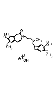 COc1cc2c(cc1OC)CC(=O)N(CCCN(C)CC1Cc3cc(OC)c(OC)cc31)C=C2.O=[N+]([O-])O